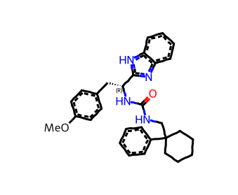 COc1ccc(C[C@@H](NC(=O)NCC2(c3ccccc3)CCCCC2)c2nc3ccccc3[nH]2)cc1